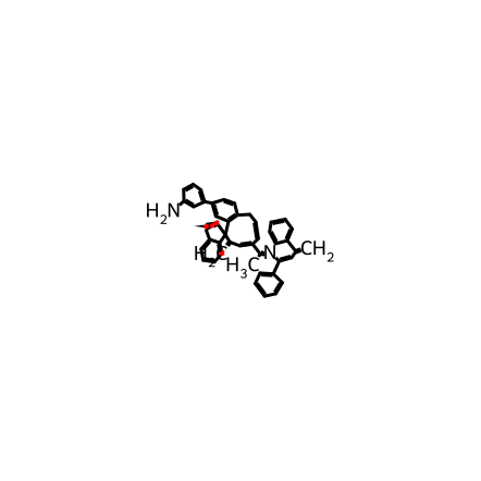 C=C(/C=C(\N=C(/C)C1=CC(=C)C2(c3cc(-c4cccc(N)c4)ccc3C/C=C\1)c1ccccc1-c1ccccc12)c1ccccc1)c1ccccc1